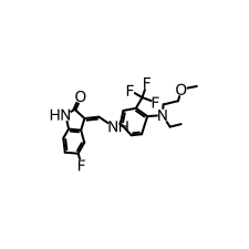 CCN(CCOC)c1ccc(N/C=C2/C(=O)Nc3ccc(F)cc32)cc1C(F)(F)F